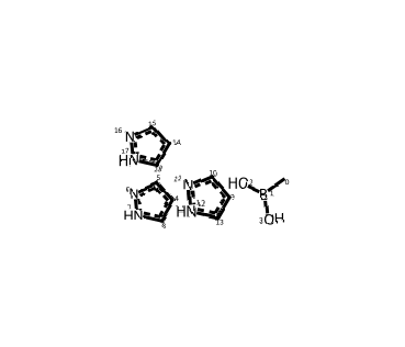 CB(O)O.c1cn[nH]c1.c1cn[nH]c1.c1cn[nH]c1